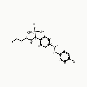 CCCCNC(c1ccc(OCc2ccc(C)cc2)cc1)C(Cl)(Cl)Cl